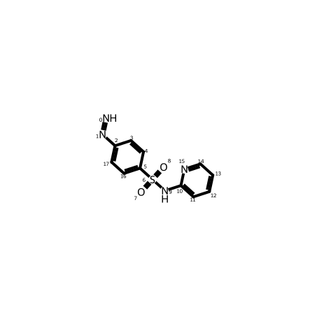 N=Nc1ccc(S(=O)(=O)Nc2ccccn2)cc1